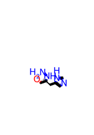 NN[C@H](C=O)Cc1cnc[nH]1